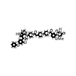 COc1ccc(C(=O)N2CCC(N3CCC(CC(=O)N4CCC(Nc5ncnc6[nH]cc(C(=O)c7ccc(Oc8ccccc8)cc7Cl)c56)CC4)CC3)CC2)cc1N1CCC(=O)NC1=O